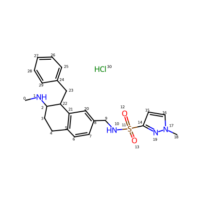 CNC1CCc2ccc(CNS(=O)(=O)c3ccn(C)n3)cc2C1Cc1ccccc1.Cl